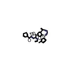 C=C/C(Oc1c(C)cccc1N1/C=C\C=C/C(=C)c2ccccc21)=C(C=O)\C=C(/OC)C(=O)C1=CCCC=C1